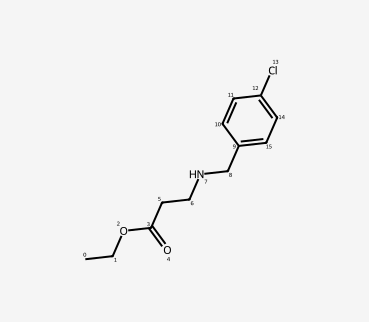 CCOC(=O)CCNCc1ccc(Cl)cc1